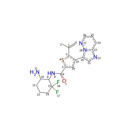 C=C(C)c1sc(C(=O)NC2C(N)CCCC2(F)F)cc1-c1cnc2cccnn12